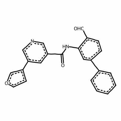 O=Cc1ccc(-c2ccccc2)cc1NC(=O)c1cncc(-c2ccoc2)c1